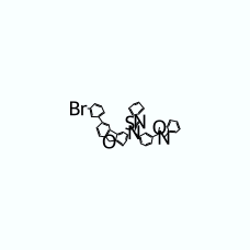 Brc1cccc(-c2ccc3oc4ccc(N(c5cccc(-c6nc7ccccc7o6)c5)c5nc6ccccc6s5)cc4c3c2)c1